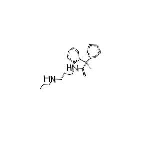 C=C(NCCCNCCC)C(C)(c1ccccc1)c1ccccc1